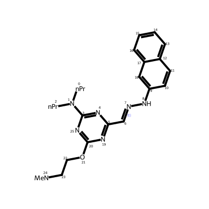 CCCN(CCC)c1nc(/C=N/Nc2ccc3ccccc3c2)nc(OCCNC)n1